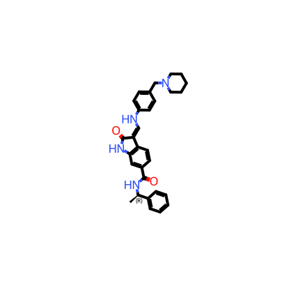 C[C@@H](NC(=O)c1ccc2c(c1)NC(=O)C2=CNc1ccc(CN2CCCCC2)cc1)c1ccccc1